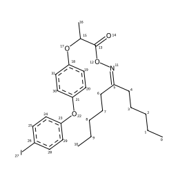 CCCCCC(CCCCC)=NOC(=O)C(C)Oc1ccc(Oc2ccc(I)cc2)cc1